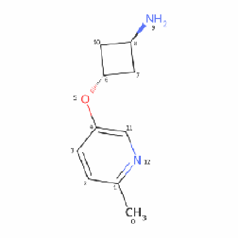 Cc1ccc(O[C@H]2C[C@H](N)C2)cn1